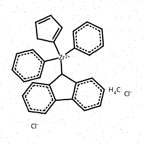 C.C1=CC[C]([Zr+2]([c]2ccccc2)([c]2ccccc2)[CH]2c3ccccc3-c3ccccc32)=C1.[Cl-].[Cl-]